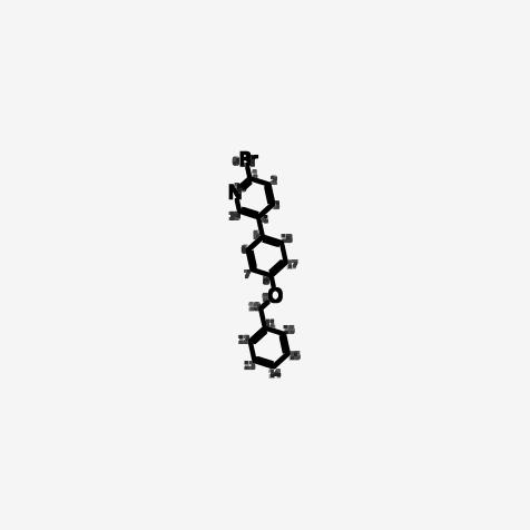 Brc1ccc(-c2ccc(OCc3ccccc3)cc2)cn1